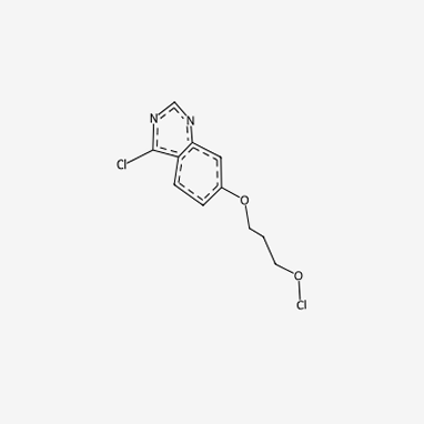 ClOCCCOc1ccc2c(Cl)ncnc2c1